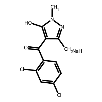 Cc1nn(C)c(O)c1C(=O)c1ccc(Cl)cc1Cl.[NaH]